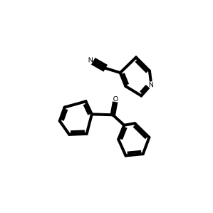 N#Cc1ccncc1.O=C(c1ccccc1)c1ccccc1